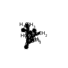 C=CCOCC(COCC(COCC(COCC(COCC1COC(C)(C)O1)OCc1ccccc1)OCC(O)COCC(COCC1COC(C)(C)O1)OCc1ccccc1)OCc1ccccc1)OCc1ccccc1